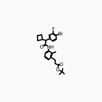 Cc1c(CCC(=O)OC(C)(C)C)cccc1NC(=O)C(c1ccc(Br)c(F)c1)C1CCC1